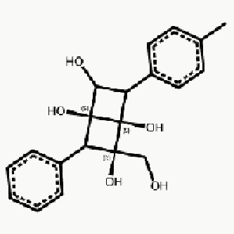 Cc1ccc(C2C(O)[C@@]3(O)C(c4ccccc4)[C@@](O)(CO)[C@@]23O)cc1